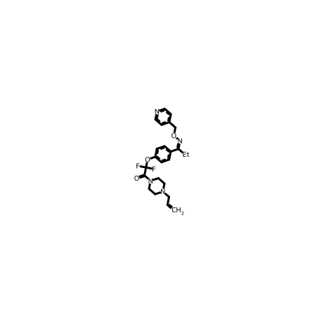 C=CCN1CCN(C(=O)C(F)(F)Oc2ccc(/C(CC)=N\OCc3ccncc3)cc2)CC1